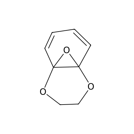 C1=CC23OCCOC2(C=C1)O3